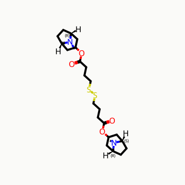 CN1[C@@H]2CC[C@H]1CC(OC(=O)CCCSSCCCC(=O)OC1C[C@H]3CC[C@@H](C1)N3C)C2